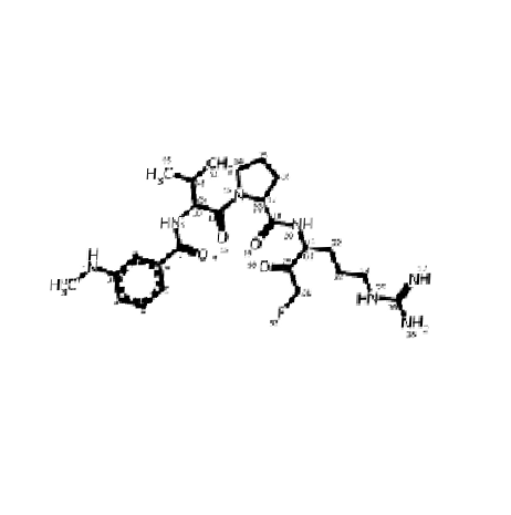 CNc1cccc(C(=O)N[C@H](C(=O)N2CCC[C@H]2C(=O)N[C@@H](CCCNC(=N)N)C(=O)CF)C(C)C)c1